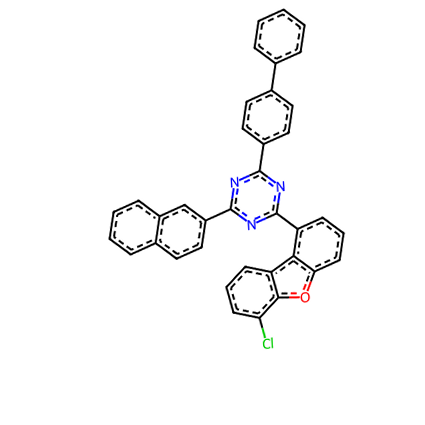 Clc1cccc2c1oc1cccc(-c3nc(-c4ccc(-c5ccccc5)cc4)nc(-c4ccc5ccccc5c4)n3)c12